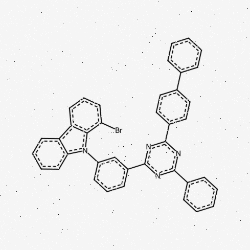 Brc1cccc2c3ccccc3n(-c3cccc(-c4nc(-c5ccccc5)nc(-c5ccc(-c6ccccc6)cc5)n4)c3)c12